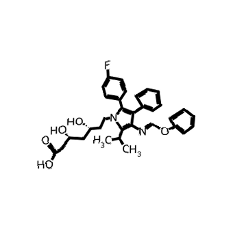 CC(C)c1c(/N=C/Oc2ccccc2)c(-c2ccccc2)c(-c2ccc(F)cc2)n1CC[C@@H](O)C[C@@H](O)CC(=O)O